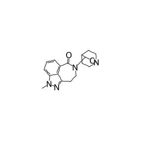 Cn1nc2c3c(cccc31)C(=O)N(C1CN3CCC1CC3)CC2